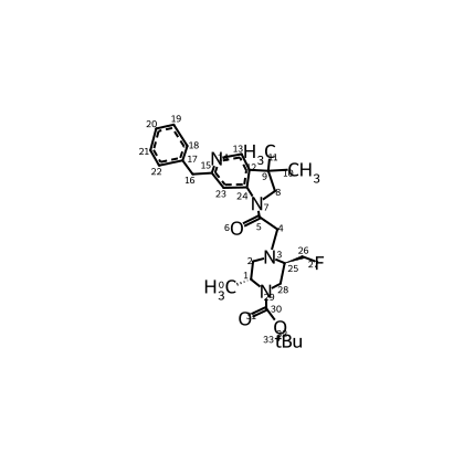 C[C@@H]1CN(CC(=O)N2CC(C)(C)c3cnc(Cc4ccccc4)cc32)[C@@H](CF)CN1C(=O)OC(C)(C)C